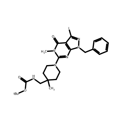 Cn1c(N2CCC(C)(CNC(=O)OC(C)(C)C)CC2)nc2c(c(I)nn2Cc2ccccc2)c1=O